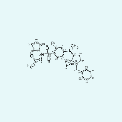 CN(c1cc(F)c(S(=O)(=O)N(OC(=O)C(F)(F)F)c2cscn2)cc1C1CC1)[C@H]1CCN(Cc2ccccc2)C1